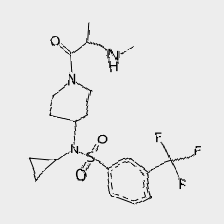 CNC(C)C(=O)N1CCC(N(C2CC2)S(=O)(=O)c2cccc(C(F)(F)F)c2)CC1